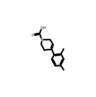 Cc1ccc(C2=CCN(C(=O)O)CC2)c(C)c1